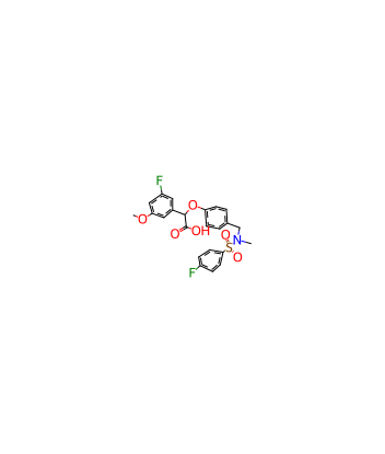 COc1cc(F)cc(C(Oc2ccc(CN(C)S(=O)(=O)c3ccc(F)cc3)cc2)C(=O)O)c1